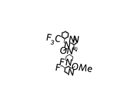 COc1nccc(C(F)F)c1N1CCC(N2C(=O)N(Cc3ccccc3C(F)(F)F)c3nn(C)cc3[C@H]2C)CC1